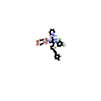 Cc1ccc(C#Cc2ccc(-c3c(CNS(=O)(=O)N4CCS(=O)(=O)CC4)c(C(=O)NN4CCCCC4)nn3-c3ccc(Cl)cc3Cl)s2)cc1